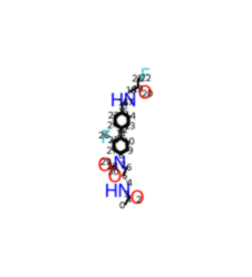 CC(=O)NC[C@H]1CN(c2ccc(-c3ccc(CNCC(=O)CF)cc3)c(F)c2)C(=O)O1